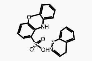 C1=NSc2ccccc2C1.O=S(=O)(O)c1cccc2c1Nc1ccccc1O2